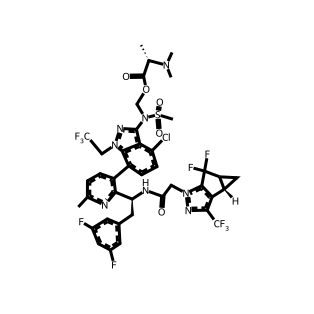 Cc1ccc(-c2ccc(Cl)c3c(N(COC(=O)[C@H](C)N(C)C)S(C)(=O)=O)nn(CC(F)(F)F)c23)c([C@H](Cc2cc(F)cc(F)c2)NC(=O)Cn2nc(C(F)(F)F)c3c2C(F)(F)C2C[C@H]32)n1